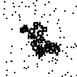 COc1cc(NC(C(=O)N2CCc3ccc(OC(F)(F)F)cc32)c2ccc(Cl)cc2OCCO[Si](C)(C)C(C)(C)C)cc(-n2cncn2)c1